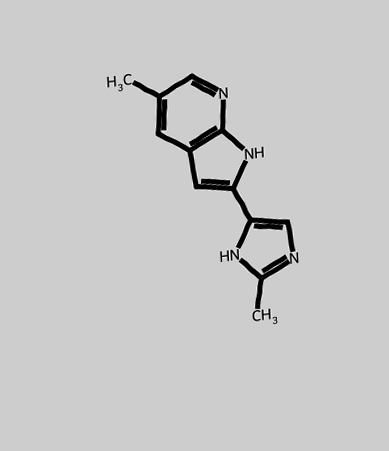 Cc1cnc2[nH]c(-c3cnc(C)[nH]3)cc2c1